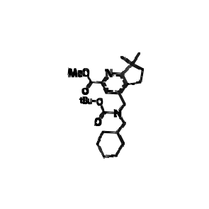 COC(=O)c1cc(CN(CC2CCCCC2)C(=O)OC(C)(C)C)c2c(n1)C(C)(C)CC2